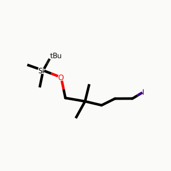 CC(C)(CCCI)CO[Si](C)(C)C(C)(C)C